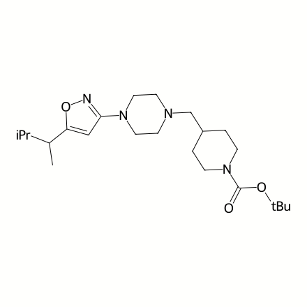 CC(C)C(C)c1cc(N2CCN(CC3CCN(C(=O)OC(C)(C)C)CC3)CC2)no1